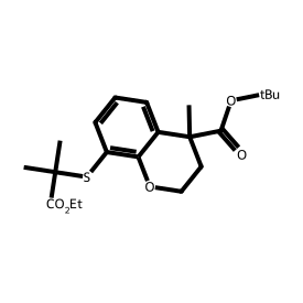 CCOC(=O)C(C)(C)Sc1cccc2c1OCCC2(C)C(=O)OC(C)(C)C